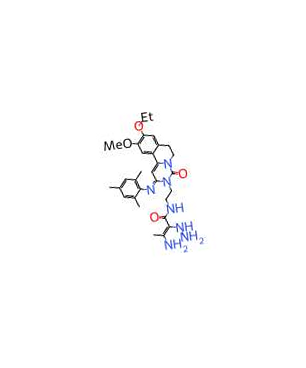 CCOc1cc2c(cc1OC)-c1c/c(=N\c3c(C)cc(C)cc3C)n(CCNC(=O)/C(NN)=C(\C)N)c(=O)n1CC2